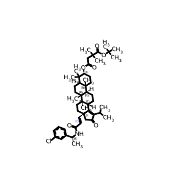 CC(C)C1=C2[C@H]3CC[C@@H]4[C@@]5(C)CC[C@H](OC(=O)CC(C)(C)C(=O)OC(C)(C)C)C(C)(C)[C@@H]5CC[C@@]4(C)[C@]3(C)CC[C@@]2(/C=C/C(=O)N[C@H](C)c2cccc(Cl)c2)CC1=O